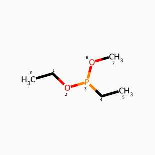 CCOP(CC)OC